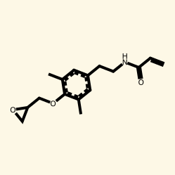 C=CC(=O)NCCc1cc(C)c(OCC2CO2)c(C)c1